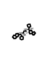 O=C(CC(=O)N[C@H](c1ccc2ccccc2c1)C1(O)CCCCC1)N[C@H](c1ccc2ccccc2c1)C1(O)CCCCC1